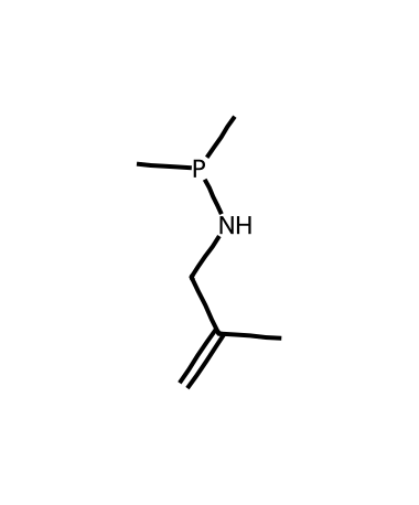 C=C(C)CNP(C)C